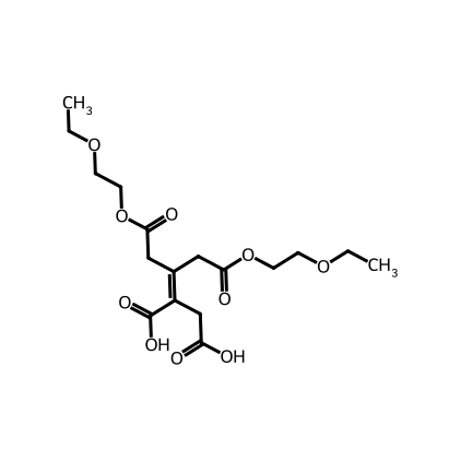 CCOCCOC(=O)CC(CC(=O)OCCOCC)=C(CC(=O)O)C(=O)O